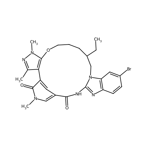 CCC1CCCOc2c(c(C)nn2C)-c2cc(cn(C)c2=O)C(=O)Nc2nc3ccc(Br)cc3n2C1